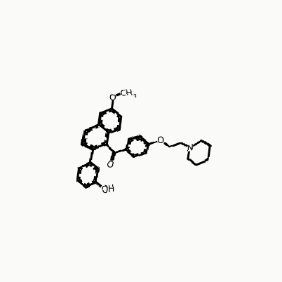 COc1ccc2c(C(=O)c3ccc(OCCN4CCCCC4)cc3)c(-c3cccc(O)c3)ccc2c1